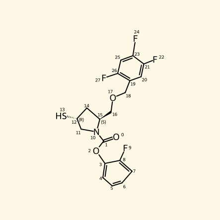 O=C(Oc1ccccc1F)N1C[C@H](S)C[C@H]1COCc1cc(F)c(F)cc1F